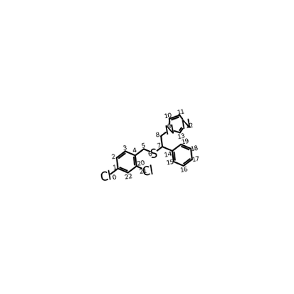 Clc1ccc(CSC(Cn2ccnc2)c2ccccc2)c(Cl)c1